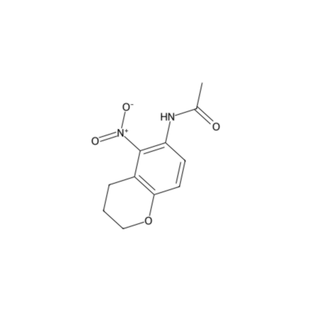 CC(=O)Nc1ccc2c(c1[N+](=O)[O-])CCCO2